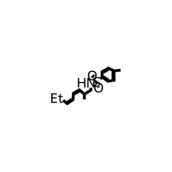 CC/C=C\C=C/C(C)CNS(=O)(=O)c1ccc(C)cc1